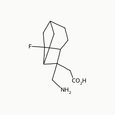 NCC1(CC(=O)O)C2CCC3CC1C2(F)C3